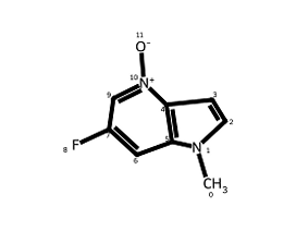 Cn1ccc2c1cc(F)c[n+]2[O-]